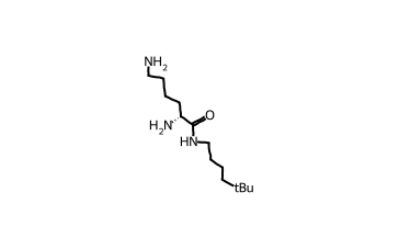 CC(C)(C)CCCCNC(=O)[C@H](N)CCCCN